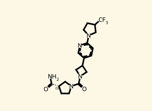 NC(=O)[C@H]1CCN(C(=O)N2CC(c3ccc(N4CCC(C(F)(F)F)C4)nc3)C2)C1